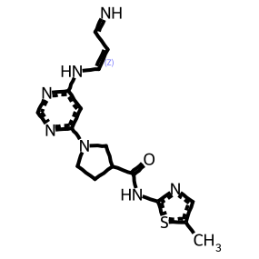 Cc1cnc(NC(=O)C2CCN(c3cc(N/C=C\C=N)ncn3)C2)s1